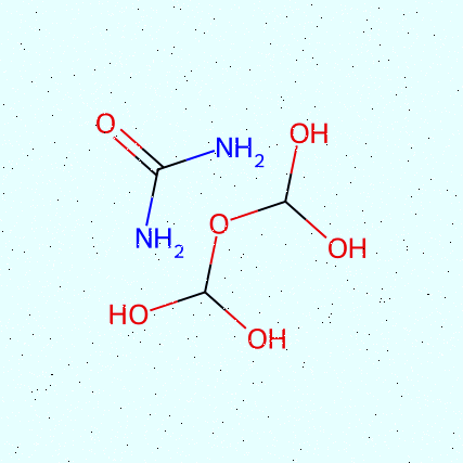 NC(N)=O.OC(O)OC(O)O